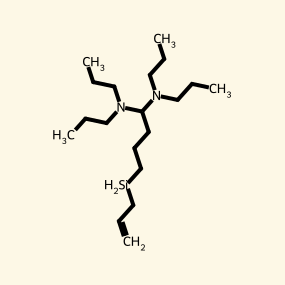 C=CC[SiH2]CCCC(N(CCC)CCC)N(CCC)CCC